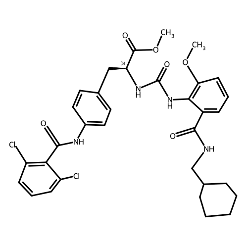 COC(=O)[C@H](Cc1ccc(NC(=O)c2c(Cl)cccc2Cl)cc1)NC(=O)Nc1c(OC)cccc1C(=O)NCC1CCCCC1